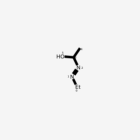 CCN=NC(C)O